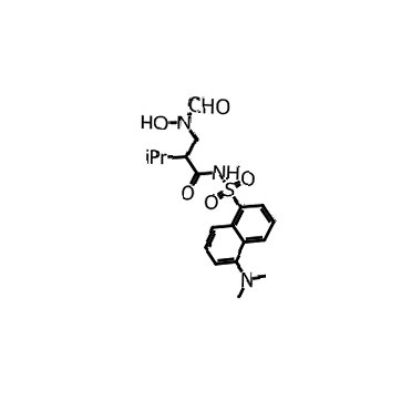 CC(C)C(CN(O)C=O)C(=O)NS(=O)(=O)c1cccc2c(N(C)C)cccc12